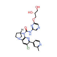 Cc1cc(-c2nc3c(cc2Cl)N2CC[C@@H](C2)N3C(=O)Nc2cncc(OC[C@H](O)CO)n2)ccn1